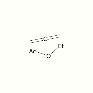 C=C=C.CCOC(C)=O